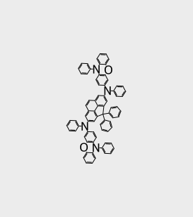 c1ccc(N(c2ccc3c(c2)Oc2ccccc2N3c2ccccc2)c2cc3c4c(ccc5cc(N(c6ccccc6)c6ccc7c(c6)Oc6ccccc6N7c6ccccc6)cc(c54)C3(c3ccccc3)c3ccccc3)c2)cc1